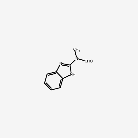 CN([C]=O)c1nc2ccccc2[nH]1